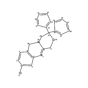 Clc1ccc2c(c1)N=C1COC(c3ccccc3)(c3ccccc3)CN1C2